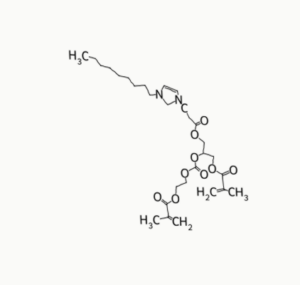 C=C(C)C(=O)OCCOC(=O)OC(COC(=O)CCN1C=CN(CCCCCCCCC)C1)COC(=O)C(=C)C